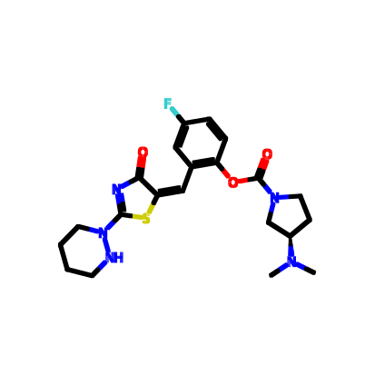 CN(C)[C@@H]1CCN(C(=O)Oc2ccc(F)cc2/C=C2/SC(N3CCCCN3)=NC2=O)C1